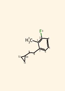 Cc1c(F)cccc1C[CH]C1CC1